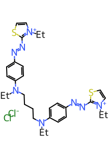 CCN(CCCCN(CC)c1ccc(N=Nc2scc[n+]2CC)cc1)c1ccc(N=Nc2scc[n+]2CC)cc1.[Cl-].[Cl-]